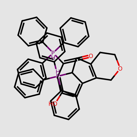 O=CC(/C1=C\C(O)=C/C([PH](c2ccccc2)(c2ccccc2)c2ccccc2)=CC2=C1COCC2)[PH](c1ccccc1)(c1ccccc1)c1ccccc1